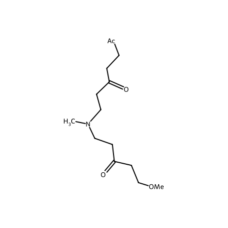 COCCC(=O)CCN(C)CCC(=O)CCC(C)=O